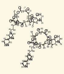 CC[C@H]1OC(=O)[C@H](C)C(=O)[C@H](C)[C@@H](O[C@@H]2O[C@H](C)C[C@H](N(C)C)[C@H]2O)[C@](C)(OC)C[C@@H](C)C(=O)[C@H](C)[C@H]2N(CCCCn3cnc(-c4cccnc4)c3)C(=O)O[C@]12C.CC[C@H]1OC(=O)[C@H](C)C(=O)[C@H](C)[C@@H](O[C@@H]2O[C@H](C)C[C@H](N(C)C)[C@H]2O)[C@](C)(OC)C[C@@H](C)C(=O)[C@H](C)[C@H]2N(CCCCn3cnc(-c4cccnc4)c3)C(=O)O[C@]12C